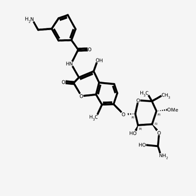 CO[C@@H]1[C@@H](OC(N)O)[C@@H](O)[C@H](Oc2ccc3c(O)c(NC(=O)c4cccc(CN)c4)c(=O)oc3c2C)OC1(C)C